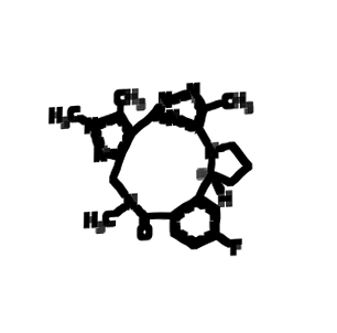 Cc1nnc2nc1N1CCC[C@@H]1c1cc(F)ccc1C(=O)N(C)Cc1nn(C)c(C)c1-2